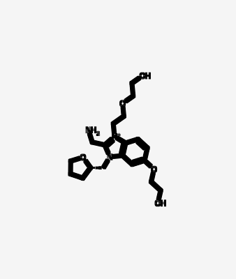 NCc1n(C[C@@H]2CCCO2)c2cc(OCCO)ccc2[n+]1CCOCCO